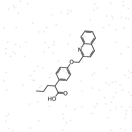 CCCC(C(=O)O)c1ccc(OCc2ccc3ccccc3n2)cc1